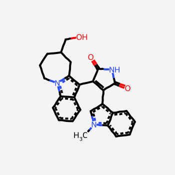 Cn1cc(C2=C(c3c4n(c5ccccc35)CCCC(CO)C4)C(=O)NC2=O)c2ccccc21